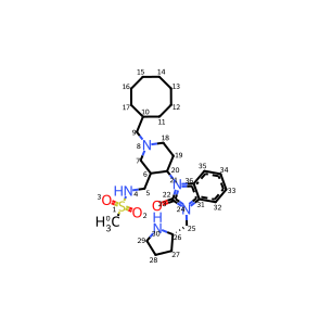 CS(=O)(=O)NCC1CN(CC2CCCCCCC2)CCC1n1c(=O)n(C[C@@H]2CCCN2)c2ccccc21